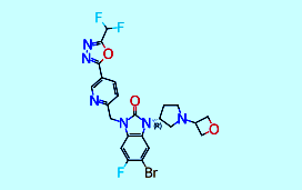 O=c1n(Cc2ccc(-c3nnc(C(F)F)o3)cn2)c2cc(F)c(Br)cc2n1[C@@H]1CCN(C2COC2)C1